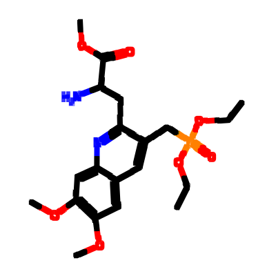 CCOP(=O)(Cc1cc2cc(OC)c(OC)cc2nc1CC(N)C(=O)OC)OCC